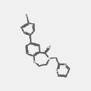 O=C1c2cc(-c3ccc(F)cc3)ccc2OCCN1Cc1ncccn1